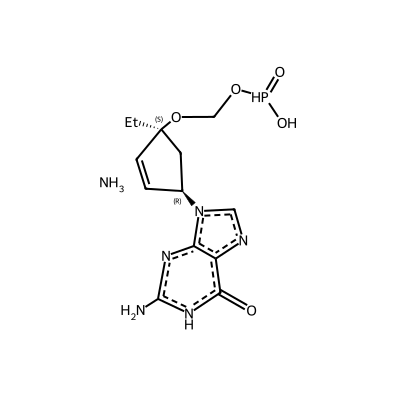 CC[C@@]1(OCO[PH](=O)O)C=C[C@H](n2cnc3c(=O)[nH]c(N)nc32)C1.N